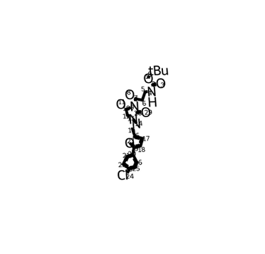 CC(C)(C)OC(=O)NCCC(=O)N1C(=O)CN(N=Cc2ccc(-c3ccc(Cl)cc3)o2)C1=O